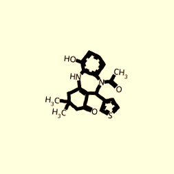 CC(=O)N1c2cccc(O)c2NC2=C(C(=O)CC(C)(C)C2)C1c1ccsc1